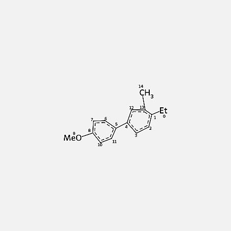 CCc1ccc(-c2ccc(OC)cc2)cc1C